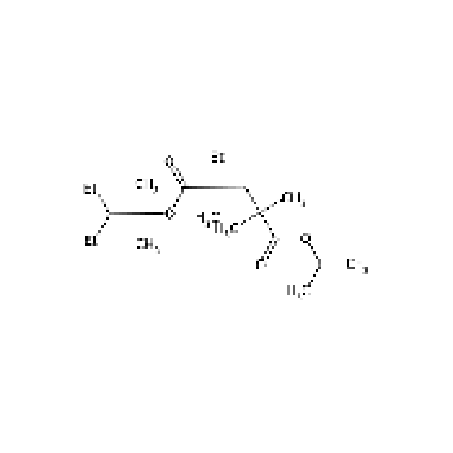 CCC(CC)C(C)(C)OC(=O)C(C)(CC)CC(C)(C)C(=O)OC(C)C(F)(F)F